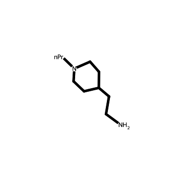 C[CH]CN1CCC(CCN)CC1